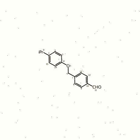 CC(C)c1ccc(OCc2ccc(C=O)cc2)cc1